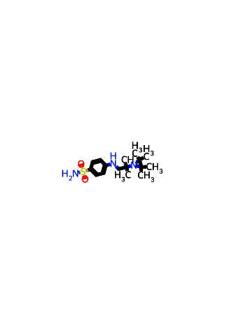 CC(C)(CNc1ccc(S(N)(=O)=O)cc1)N1C(C)(C)C1(C)C